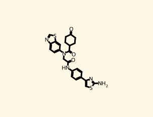 Nc1nc(-c2ccc(NC(=O)CN(C(=O)C3CCC(=O)CC3)c3ccc4ncsc4c3)cc2)cs1